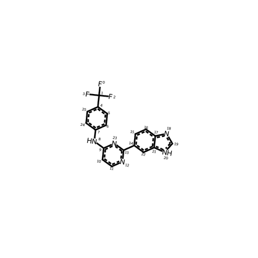 FC(F)(F)c1ccc(Nc2ccnc(-c3ccc4nc[nH]c4c3)n2)cc1